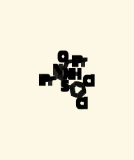 CC(C)C(=O)c1nc(C(C)C)c(Sc2cc(Cl)cc(Cl)c2)[nH]1